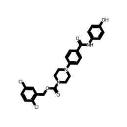 O=C(Nc1ccc(O)cc1)c1ccc(N2CCN(C(=O)OCc3cc(Cl)ccc3Cl)CC2)cc1